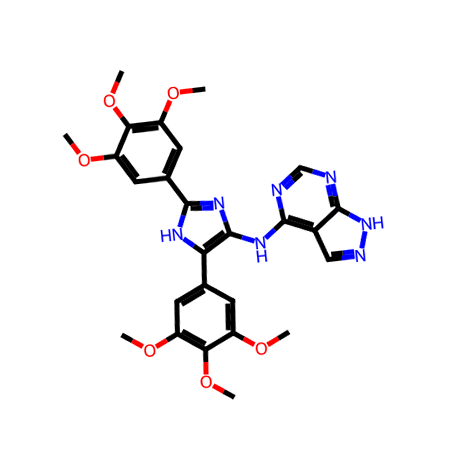 COc1cc(-c2nc(Nc3ncnc4[nH]ncc34)c(-c3cc(OC)c(OC)c(OC)c3)[nH]2)cc(OC)c1OC